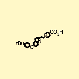 CC(C)(C)C1CCC(Oc2ccc3nc(CCN4CCC(C(=O)O)CC4)ccc3c2)CC1